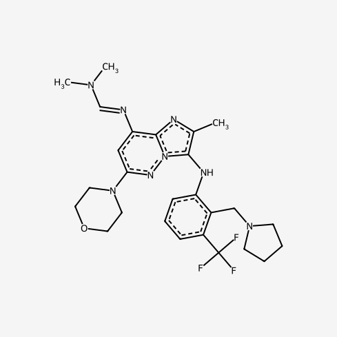 Cc1nc2c(/N=C/N(C)C)cc(N3CCOCC3)nn2c1Nc1cccc(C(F)(F)F)c1CN1CCCC1